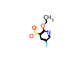 CCOc1ncc(F)cc1[SH](=O)=O